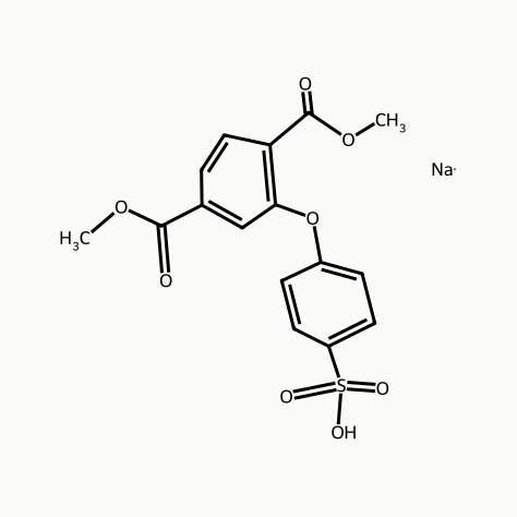 COC(=O)c1ccc(C(=O)OC)c(Oc2ccc(S(=O)(=O)O)cc2)c1.[Na]